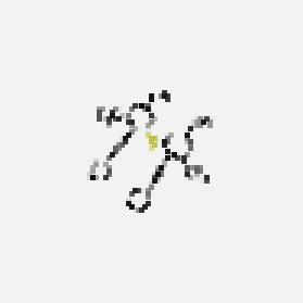 CCCc1cc(Sc2cc(CCC)cc(C(F)(F)F)c2C#CC2CCCC2)c(C#CC2CCCC2)c(C(F)(F)F)c1